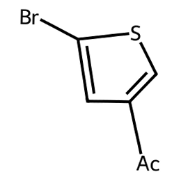 CC(=O)c1csc(Br)c1